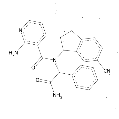 N#Cc1ccc2c(c1)[C@H](N(C(=O)c1cccnc1N)[C@@H](C(N)=O)c1ccccc1)CC2